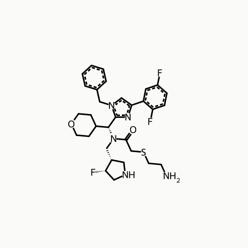 NCCSCC(=O)N(C[C@@H]1CNC[C@@H]1F)[C@@H](c1nc(-c2cc(F)ccc2F)cn1Cc1ccccc1)C1CCOCC1